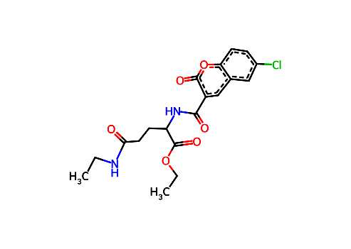 CCNC(=O)CCC(NC(=O)c1cc2cc(Cl)ccc2oc1=O)C(=O)OCC